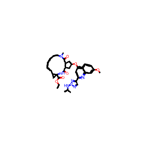 CCOC(=O)C12CC1/C=C/CCCCN(C)C(=O)C1CC(Oc3cc(-c4cnn(NC(C)C)n4)nc4cc(OC)ccc34)CC1C(=O)N2